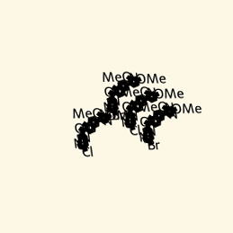 COc1ccc(-c2ccc3c(c2)CCN(C(=O)c2cc4ncc(Br)cn4n2)C3C)c(OC)n1.COc1ccc(-c2ccc3c(c2)CCN(C(=O)c2cc4ncc(Cl)cn4n2)C3C)c(OC)n1.COc1ncc(-c2ccc3c(c2)CCN(C(=O)c2cc4ncc(Br)cn4n2)C3C)c(OC)n1.COc1ncc(-c2ccc3c(c2)CCN(C(=O)c2cc4ncc(Cl)cn4n2)C3C)c(OC)n1